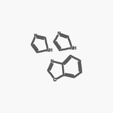 c1c[nH]cn1.c1c[nH]cn1.c1ccc2ocnc2c1